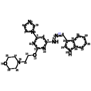 C(=N/Nc1cc(-n2ccnc2)nc(OCCN2CCOCC2)n1)/c1c[nH]c2ccccc12